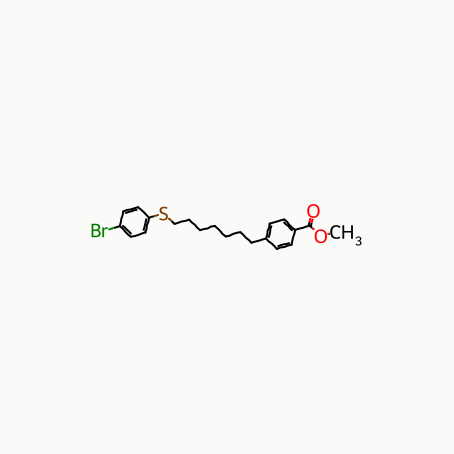 COC(=O)c1ccc(CCCCCCCSc2ccc(Br)cc2)cc1